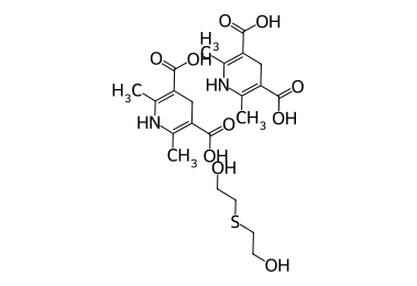 CC1=C(C(=O)O)CC(C(=O)O)=C(C)N1.CC1=C(C(=O)O)CC(C(=O)O)=C(C)N1.OCCSCCO